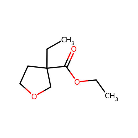 CCOC(=O)C1(CC)CCOC1